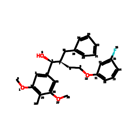 COc1cc([C@@H](O)[C@@H](CCOc2cccc(F)c2)Cc2cc[c]cc2)cc(OC)c1C